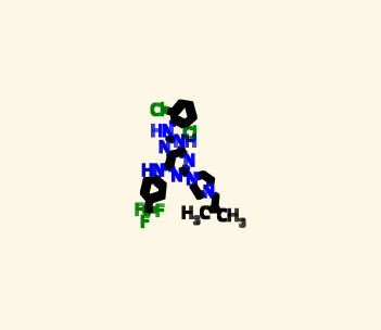 CC(C)CN1CCN(c2nc(Nc3ccc(C(F)(F)F)cc3)c3nc(Nc4c(Cl)cccc4Cl)[nH]c3n2)CC1